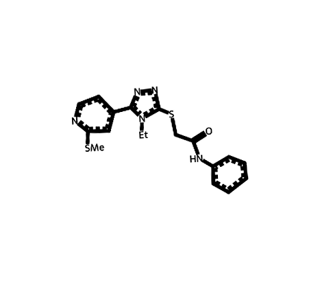 CCn1c(SCC(=O)Nc2ccccc2)nnc1-c1ccnc(SC)c1